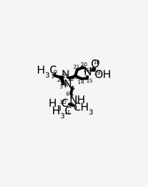 CCc1cn(CCNC(C)(C)C)c(C2CCN(C(=O)O)CC2)n1